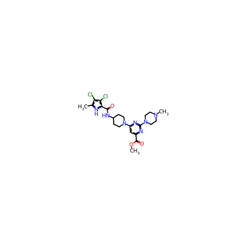 COC(=O)c1cc(N2CCC(NC(=O)c3[nH]c(C)c(Cl)c3Cl)CC2)nc(N2CCN(C)CC2)n1